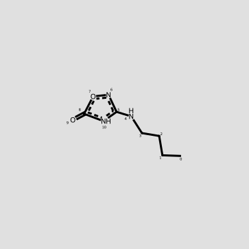 CCCCNc1noc(=O)[nH]1